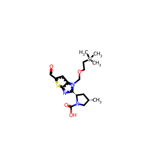 C[C@H]1C[C@@H](c2nc3sc(C=O)cc3n2COCC[Si](C)(C)C)N(C(=O)O)C1